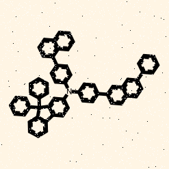 c1ccc(-c2ccc3ccc(-c4ccc(N(c5ccc(-c6cccc7ccccc67)cc5)c5ccc6c(c5)C(c5ccccc5)(c5ccccc5)c5ccccc5-6)cc4)cc3c2)cc1